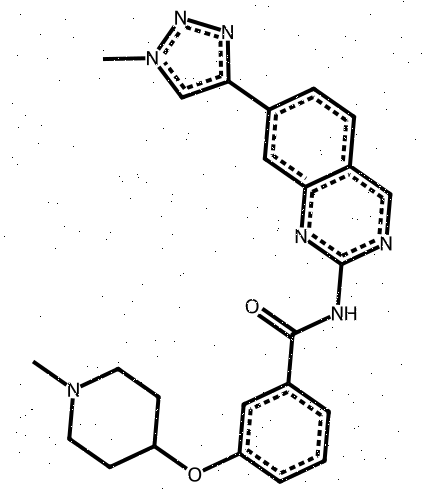 CN1CCC(Oc2cccc(C(=O)Nc3ncc4ccc(-c5cn(C)nn5)cc4n3)c2)CC1